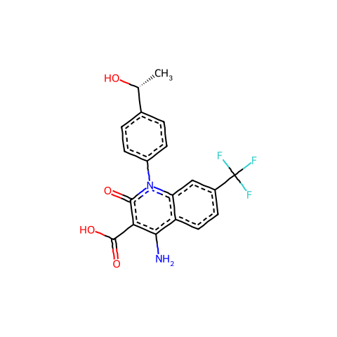 C[C@@H](O)c1ccc(-n2c(=O)c(C(=O)O)c(N)c3ccc(C(F)(F)F)cc32)cc1